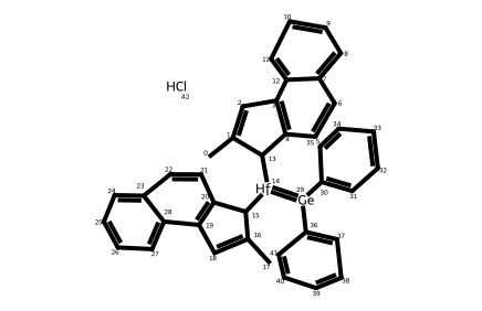 CC1=Cc2c(ccc3ccccc23)[CH]1[Hf]([CH]1C(C)=Cc2c1ccc1ccccc21)=[Ge]([c]1ccccc1)[c]1ccccc1.Cl